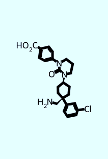 NC[C@]1(c2cccc(Cl)c2)CC[C@H](N2CCCN(c3ccc(C(=O)O)cc3)C2=O)CC1